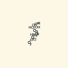 CN(C)[C@H]1CCN(C(=O)C(O)C(O)c2ccc3c(c2)sc2ncnc(Nc4ccc(OCc5cccc(F)c5)c(Cl)c4)c23)C1